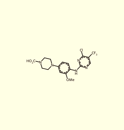 COc1cc(N2CCN(C(=O)O)CC2)ccc1Nc1ncc(C(F)(F)F)c(Cl)n1